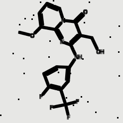 COc1cccn2c(=O)c(CO)c(Nc3ccc(F)c(C(F)(F)F)c3)nc12